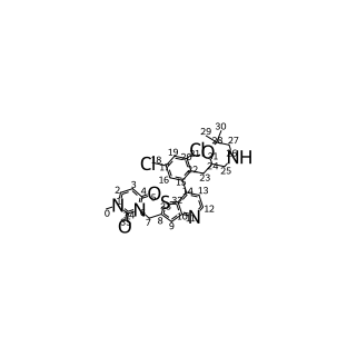 Cn1ccc(=O)n(Cc2cc3nccc(-c4cc(Cl)cc(Cl)c4CC4CNCC(C)(C)O4)c3s2)c1=O